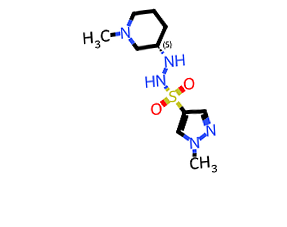 CN1CCC[C@H](NNS(=O)(=O)c2cnn(C)c2)C1